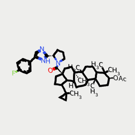 CC(=O)O[C@H]1CC[C@@]2(C)C(CC[C@]3(C)C2CC[C@@H]2C4C(C5(C)CC5)CC[C@]4(C(=O)N4CCC[C@H]4c4ncc(-c5ccc(F)cc5)[nH]4)CC[C@]23C)C1(C)C